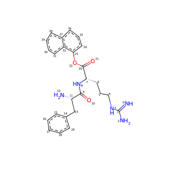 N=C(N)NCCC[C@H](NC(=O)[C@@H](N)Cc1ccccc1)C(=O)Oc1cccc2ccccc12